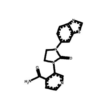 NC(=O)c1ccncc1N1CCN(c2ccc3ncsc3c2)C1=O